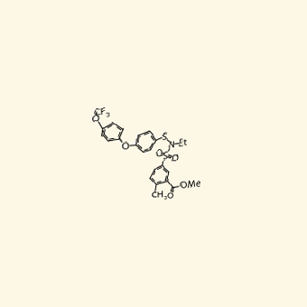 CCN(Sc1ccc(Oc2ccc(OC(F)(F)F)cc2)cc1)S(=O)(=O)c1ccc(C)c(C(=O)OC)c1